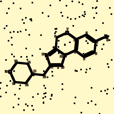 Brc1ccc2c(c1)OCc1nc(CN3CCOCC3)cn1-2